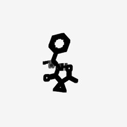 CC(=O)C1(C(=O)N[C@H](C)c2ccccc2)CC1